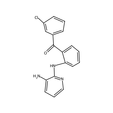 Nc1cccnc1Nc1ccccc1C(=O)c1cccc(Cl)c1